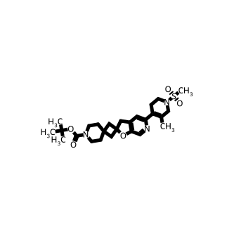 CC1=C(c2cc3c(cn2)OC2(C3)CC3(CCN(C(=O)OC(C)(C)C)CC3)C2)CCN(S(C)(=O)=O)C1